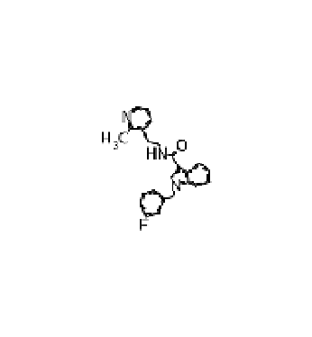 Cc1ncccc1CCNC(=O)c1cn(Cc2cccc(F)c2)c2ccccc12